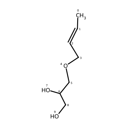 CC=CCOCC(O)CO